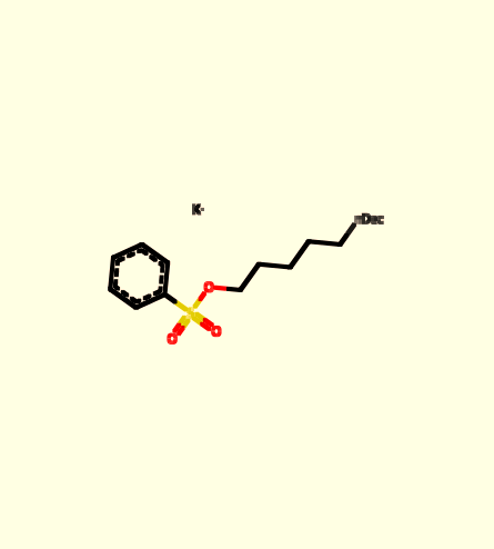 CCCCCCCCCCCCCCCOS(=O)(=O)c1ccccc1.[K]